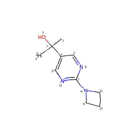 [2H]C(C)(O)c1cnc(N2CCC2)nc1